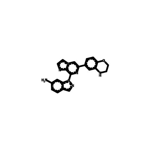 Nc1ccc2cnn(-c3nc(-c4ccc5c(c4)NCCO5)cn4ccnc34)c2c1